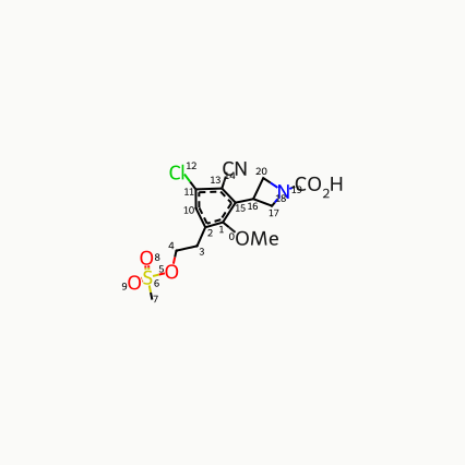 COc1c(CCOS(C)(=O)=O)cc(Cl)c(C#N)c1C1CN(C(=O)O)C1